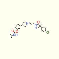 CC(C)NC(=O)Oc1cccc(C2CCN(CCCNC(=O)C(C)(C)c3ccc(Cl)cc3)CC2)c1